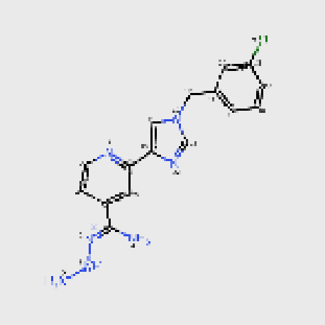 NN/N=C(\N)c1ccnc(-c2cn(Cc3cccc(Cl)c3)cn2)c1